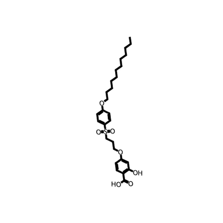 CCCCCCCCCCCCOc1ccc(S(=O)(=O)CCCOc2ccc(C(=O)O)c(O)c2)cc1